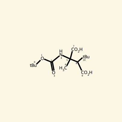 CC(C)(C)OC(=O)NC(C)(C(=O)O)C(C(=O)O)C(C)(C)C